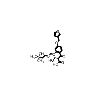 C[Si](C)(C)CCOCOc1cc(OCc2ccsc2)ccc1C(=O)[C@H](CO)C(=O)O